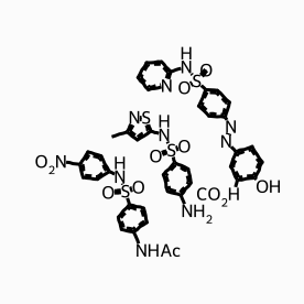 CC(=O)Nc1ccc(S(=O)(=O)Nc2ccc([N+](=O)[O-])cc2)cc1.Cc1cc(NS(=O)(=O)c2ccc(N)cc2)sn1.O=C(O)c1cc(/N=N/c2ccc(S(=O)(=O)Nc3ccccn3)cc2)ccc1O